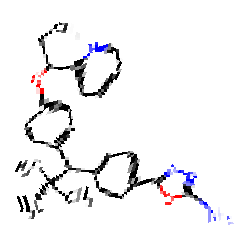 CCC(Oc1ccc(C(c2ccc(-c3nnc(N)o3)cc2)C(C)(C)C)cc1)c1ccccn1